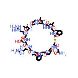 CC[C@H](C)[C@@H]1NC(=O)[C@H](CC(C)C)NC(=O)[C@H](Cc2ccccc2)NC(=O)CSC[C@@H](C(=O)NCC(N)=O)NC(=O)[C@@H]2CCCN2C(=O)[C@H](Cc2ccccc2)NC(=O)[C@H](C(C)C)NC(=O)[C@H](CCCNC(=N)N)NC(=O)[C@H](CC(=O)O)NC(=O)[C@H](CCCNC(=N)N)NC(=O)[C@H]([C@@H](C)CC)NC(=O)[C@H](C(C)C)NC1=O